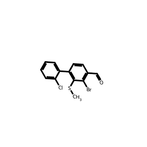 CSc1c(-c2ccccc2Cl)ccc(C=O)c1Br